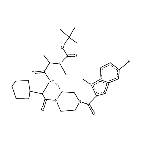 CC(C(=O)NC(C(=O)N1CCN(C(=O)c2cc3cc(F)ccc3n2C)C[C@H]1C)C1CCCCC1)N(C)C(=O)OC(C)(C)C